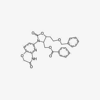 O=C1COc2ccc(N3C(=O)OC(CCOCc4ccccc4)C3COC(=O)c3ccccc3)nc2N1